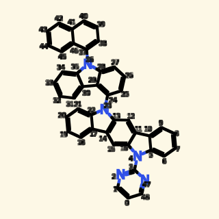 c1cnc(-n2c3ccccc3c3cc4c(cc32)c2ccccc2n4-c2cccc3c2c2ccccc2n3-c2cccc3ccccc23)nc1